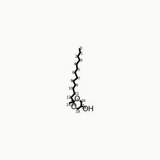 CCCCCCCCCCCCCC1(C)OCC(O)CO1